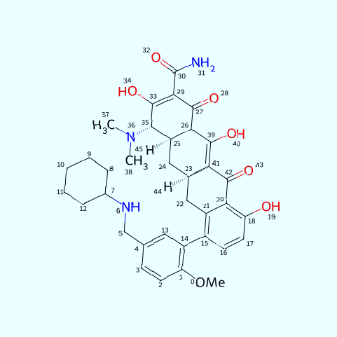 COc1ccc(CNC2CCCCC2)cc1-c1ccc(O)c2c1C[C@H]1C[C@@H]3C(C(=O)C(C(N)=O)=C(O)[C@H]3N(C)C)C(O)=C1C2=O